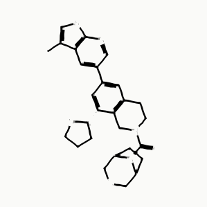 Cc1c[nH]c2ncc(-c3cc4c(c([C@@H]5CCCN5)c3)CN(C(=O)N3C5CCC3COC5)CC4)cc12